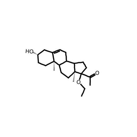 CCOC1(C(C)=O)CCC2C3CC=C4C[C@@H](O)CC[C@]4(C)C3CC[C@@]21C